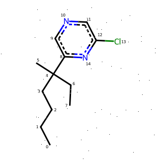 CCCCC(C)(CC)c1cncc(Cl)n1